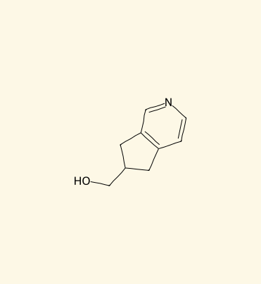 OCC1Cc2ccncc2C1